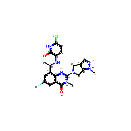 C[C@@H](Nc1ccc(Cl)[nH]c1=O)c1cc(F)cc2c(=O)n(C)c(N3Cc4cnn(C)c4C3)nc12